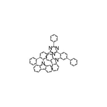 c1ccc(-c2ccc(-c3nc(-c4ccccc4)nc(-c4ccc(-c5ccccc5)c(-n5c6ccccc6c6ccccc65)c4)n3)c(-n3c4ccccc4c4ccccc43)c2)cc1